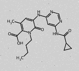 CCCCn1c(C(=O)O)c(C)cc(Nc2cc(NC(=O)C3CC3)ncn2)c1=O